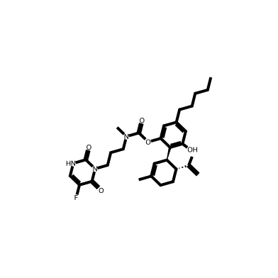 C=C(C)[C@@H]1CCC(C)=C[C@H]1c1c(O)cc(CCCCC)cc1OC(=O)N(C)CCCn1c(=O)[nH]cc(F)c1=O